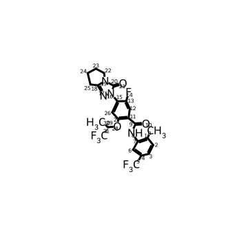 Cc1ccc(C(F)(F)F)cc1NC(=O)c1cc(F)c(-n2nc3n(c2=O)CCCC3)cc1O[C@@H](C)C(F)(F)F